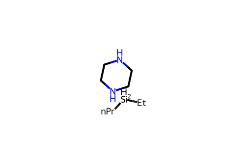 C1CNCCN1.CCC[SiH2]CC